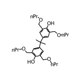 CCCOCc1cc(C(C)(C)c2cc(COCCC)c(O)c(COCCC)c2)cc(COCCC)c1O